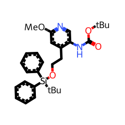 COc1cc(CCO[Si](c2ccccc2)(c2ccccc2)C(C)(C)C)c(NC(=O)OC(C)(C)C)cn1